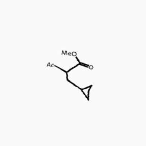 COC(=O)C(CC1CC1)C(C)=O